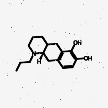 CCCN1CCCC2Cc3c(ccc(O)c3O)C[C@@H]21